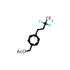 CC(=O)OCc1ccc(CCC(F)(F)C(F)(F)F)cc1